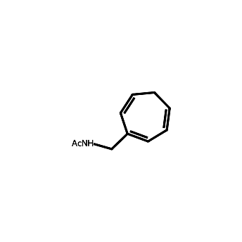 CC(=O)NCC1=CC=CCC=C1